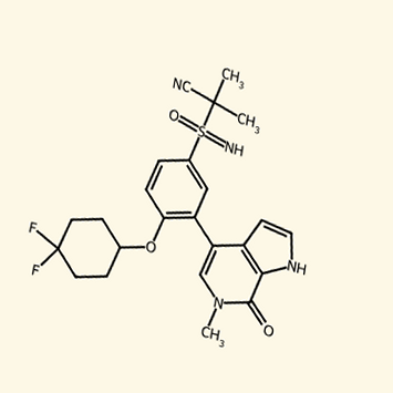 Cn1cc(-c2cc(S(=N)(=O)C(C)(C)C#N)ccc2OC2CCC(F)(F)CC2)c2cc[nH]c2c1=O